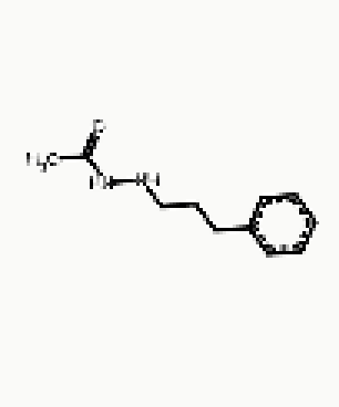 CC(=O)NNCCCc1ccccc1